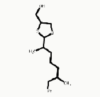 CC(C)CC(C)CCCC(C)C1OCC(CO)O1